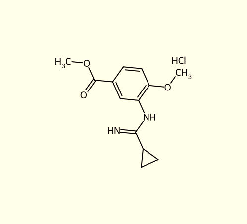 COC(=O)c1ccc(OC)c(NC(=N)C2CC2)c1.Cl